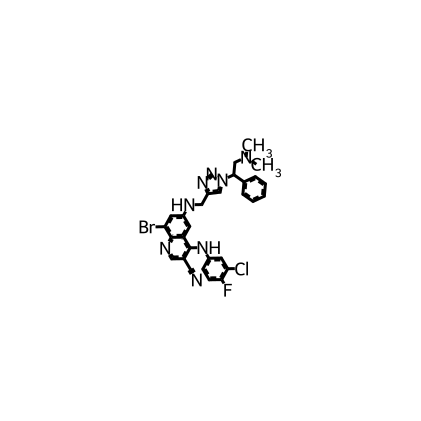 CN(C)CC(c1ccccc1)n1cc(CNc2cc(Br)c3ncc(C#N)c(Nc4ccc(F)c(Cl)c4)c3c2)nn1